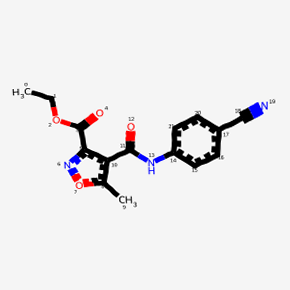 CCOC(=O)c1noc(C)c1C(=O)Nc1ccc(C#N)cc1